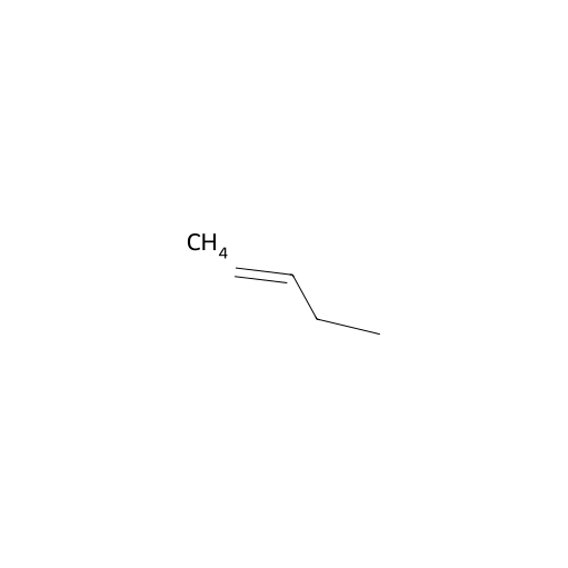 C.C=CCC